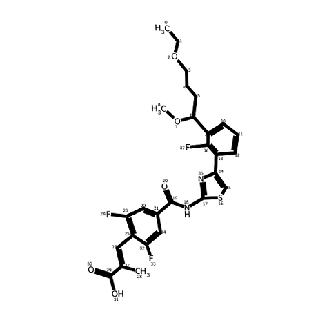 CCOCCCC(OC)c1cccc(-c2csc(NC(=O)c3cc(F)c(C=C(C)C(=O)O)c(F)c3)n2)c1F